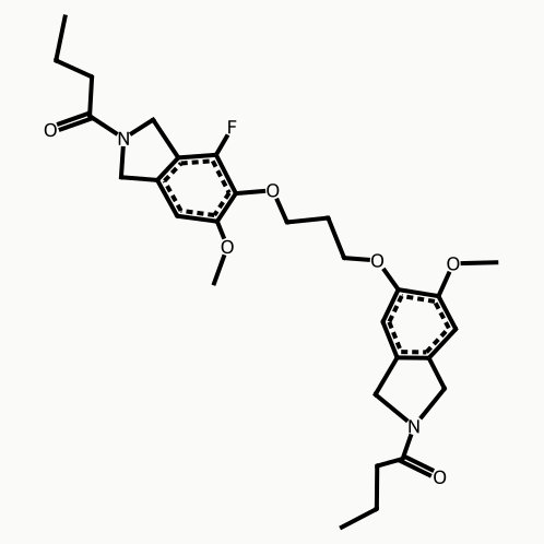 CCCC(=O)N1Cc2cc(OC)c(OCCCOc3c(OC)cc4c(c3F)CN(C(=O)CCC)C4)cc2C1